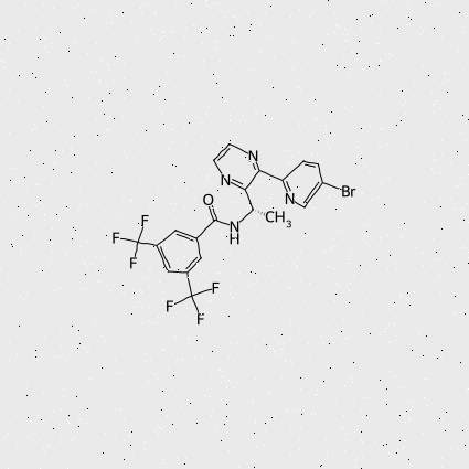 C[C@H](NC(=O)c1cc(C(F)(F)F)cc(C(F)(F)F)c1)c1nccnc1-c1ccc(Br)cn1